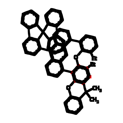 CCc1ccccc1Oc1c(CC)cccc1-c1cccc2c(-c3cccc4c3C3(c5ccccc5-c5ccccc53)c3ccccc3-4)c3cccc(-c4cccc5c4Oc4ccccc4C5(C)C)c3cc12